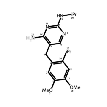 COc1cc(Cc2cnc(NC(C)C)nc2N)c(C(C)C)cc1OC